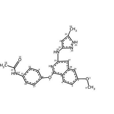 COc1ccc2c(Oc3ccc(NC(C)=O)cc3)nc(Nc3cc(C)[nH]n3)cc2c1